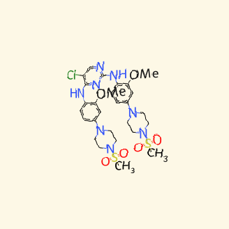 COc1cc(N2CCN(S(C)(=O)=O)CC2)ccc1Nc1ncc(Cl)c(Nc2ccc(N3CCN(S(C)(=O)=O)CC3)cc2OC)n1